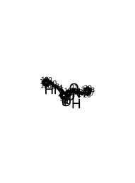 COc1ccc(CNCCCc2ccccc2)c2cc(C(=O)NCCc3ccccc3)oc12